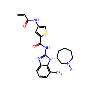 C=CC(=O)Nc1csc(C(=O)Nc2nc3cccc(C(F)(F)F)c3n2[C@@H]2CCCCN(C(C)=O)C2)c1